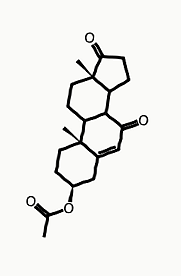 CC(=O)O[C@H]1CC[C@@]2(C)C(=CC(=O)C3C2CC[C@]2(C)C(=O)CCC32)C1